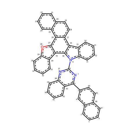 c1ccc2cc(-c3nc(-n4c5ccccc5c5c6ccc7ccccc7c6c6oc7ccccc7c6c54)nc4ccccc34)ccc2c1